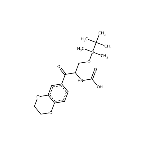 CC(C)(C)[Si](C)(C)OCC(NC(=O)O)C(=O)c1ccc2c(c1)OCCO2